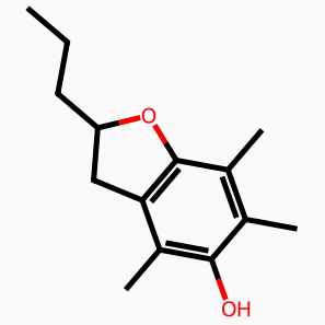 CCCC1Cc2c(C)c(O)c(C)c(C)c2O1